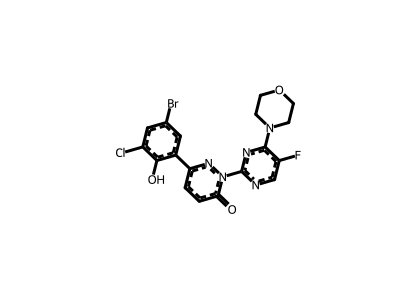 O=c1ccc(-c2cc(Br)cc(Cl)c2O)nn1-c1ncc(F)c(N2CCOCC2)n1